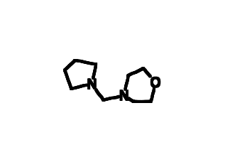 C1CCN(CN2CCOCC2)C1